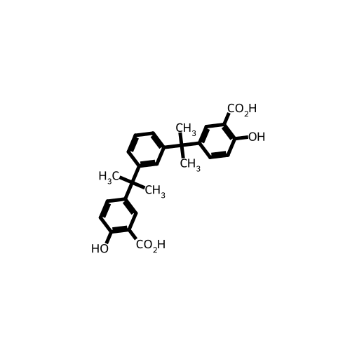 CC(C)(c1cccc(C(C)(C)c2ccc(O)c(C(=O)O)c2)c1)c1ccc(O)c(C(=O)O)c1